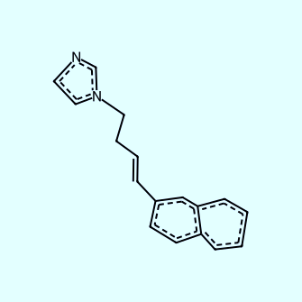 C(=Cc1ccc2ccccc2c1)CCn1ccnc1